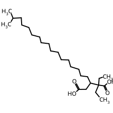 CCC(CC)(C(=O)O)C(CCCCCCCCCCCCCCCC(C)C)CC(=O)O